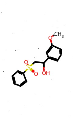 COc1cccc(C(O)CS(=O)(=O)c2ccccc2)c1